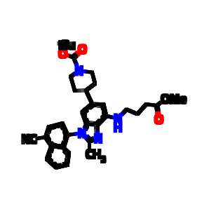 COC(=O)CCCNc1cc(C2CCN(C(=O)OC(C)(C)C)CC2)cc2c1nc(C)n2-c1ccc(C#N)c2ccccc12